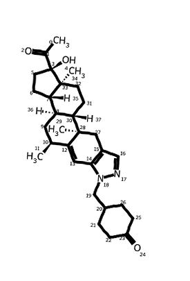 CC(=O)[C@@]1(O)CC[C@H]2[C@@H]3C[C@H](C)C4=Cc5c(cnn5CC5CCC(=O)CC5)C[C@]4(C)[C@H]3CC[C@@]21C